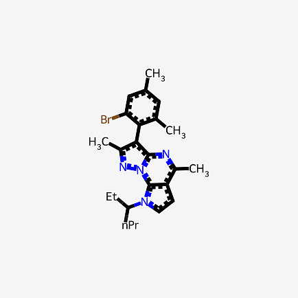 CCCC(CC)n1ccc2c(C)nc3c(-c4c(C)cc(C)cc4Br)c(C)nn3c21